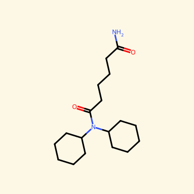 NC(=O)CCCCC(=O)N(C1CCCCC1)C1CCCCC1